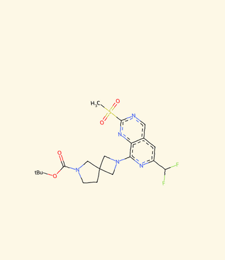 CC(C)(C)OC(=O)N1CCC2(C1)CN(c1nc(C(F)F)cc3cnc(S(C)(=O)=O)nc13)C2